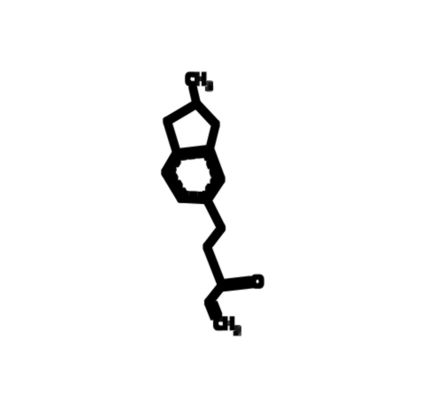 C=CC(=O)CCc1ccc2c(c1)CC(C)C2